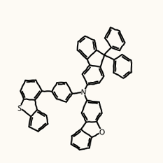 c1ccc(C2(c3ccccc3)c3ccccc3-c3cc(N(c4ccc(-c5cccc6sc7ccccc7c56)cc4)c4ccc5oc6ccccc6c5c4)ccc32)cc1